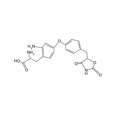 Nc1cc(Oc2ccc(CC3OC(=O)NC3=O)cc2)ccc1CC(N)C(=O)O